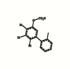 CCc1c(OC(=O)O)cc(-c2ccccc2C)c(CC)c1CC